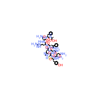 C[C@H](NC(=O)[C@H](Cc1ccccc1)NC(=O)[C@H](CC(N)=O)NC(=O)[C@H](CCCNC(=N)N)NC(=O)[C@H](Cc1c[nH]c2ccccc12)NC(=O)[C@H](Cc1c[nH]cn1)NC(=O)[C@H](CC(N)=O)NC(=O)[C@H](CS)NC(=O)[C@H](Cc1ccc(O)cc1)NC(=O)[C@@H](N)CCC(N)=O)C(=O)O